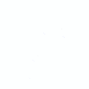 O=C(NCc1ncco1)c1ccc2c(C3CCCCC3)c3n(c2c1)CC(C(=O)N1CCOCC1)=Cc1ccccc1-3